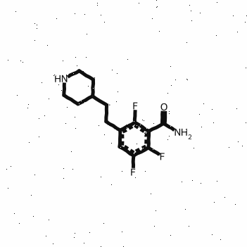 NC(=O)c1c(F)c(F)cc(C[CH]C2CCNCC2)c1F